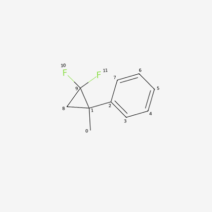 CC1(c2ccccc2)CC1(F)F